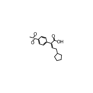 CS(=O)(=O)c1ccc(C(=CCC2CCCC2)C(=O)O)cc1